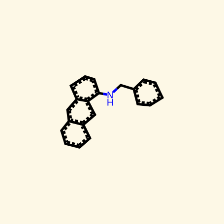 c1ccc(CNc2cccc3cc4ccccc4cc23)cc1